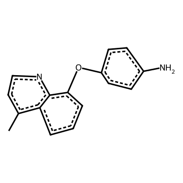 Cc1ccnc2c(Oc3ccc(N)cc3)cccc12